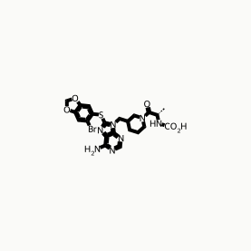 C[C@H](NC(=O)O)C(=O)N1CCCC(Cn2c(Sc3cc4c(cc3Br)OCO4)nc3c(N)ncnc32)C1